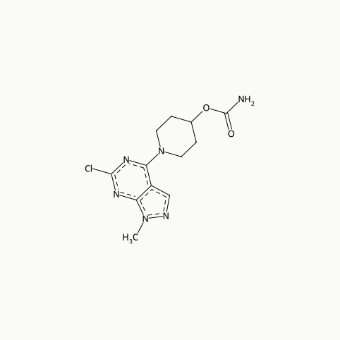 Cn1ncc2c(N3CCC(OC(N)=O)CC3)nc(Cl)nc21